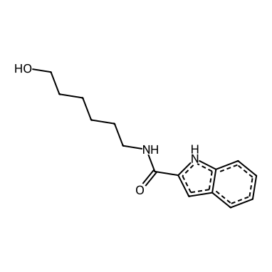 O=C(NCCCCCCO)c1cc2ccccc2[nH]1